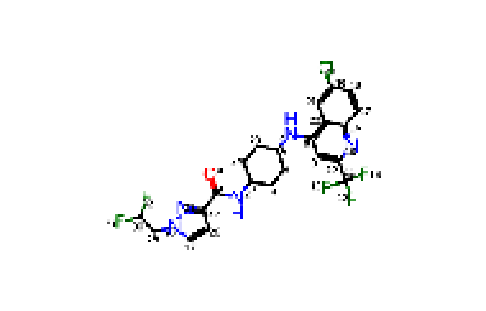 O=C(NC1CCC(Nc2cc(C(F)(F)F)nc3ccc(Cl)cc23)CC1)c1ccn(CC(F)F)n1